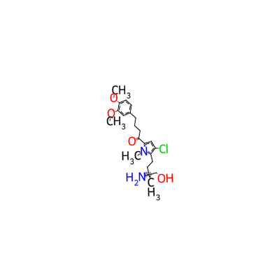 COc1ccc(CCCC(=O)c2cc(Cl)c(CC[C@@](C)(N)CO)n2C)cc1OC